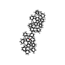 Cc1ccccc1N(c1ccccc1)c1cc2c(c3c1oc1ccccc13)-c1c(cc(N(c3ccccc3)c3cccc(-c4cccc(N(c5ccccc5)c5cc6c(c7c5oc5ccccc57)-c5c(cc(N(c7ccccc7)c7ccccc7)c7c5oc5ccccc57)C65c6ccccc6-c6ccccc65)c4)c3C)c3c1oc1ccccc13)C21c2ccccc2-c2ccccc21